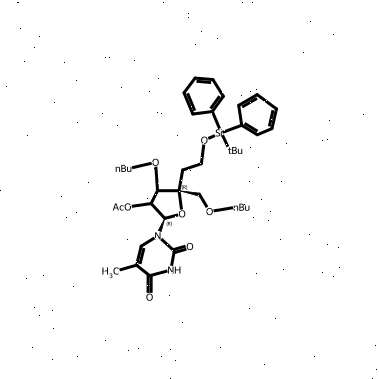 CCCCOC[C@@]1(CCO[Si](c2ccccc2)(c2ccccc2)C(C)(C)C)O[C@@H](n2cc(C)c(=O)[nH]c2=O)C(OC(C)=O)C1OCCCC